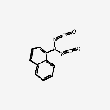 O=C=NN(N=C=O)c1cccc2ccccc12